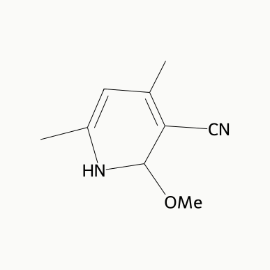 COC1NC(C)=CC(C)=C1C#N